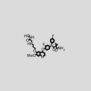 COc1cc2nccc(Oc3ccc(N(C(=O)C4(C(N)=O)CC4)c4ccc(F)cc4)cc3F)c2cc1OCCCNCC(=O)NO